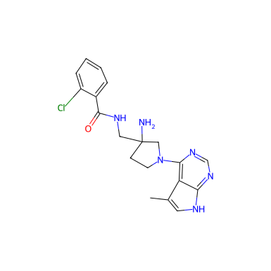 Cc1c[nH]c2ncnc(N3CCC(N)(CNC(=O)c4ccccc4Cl)C3)c12